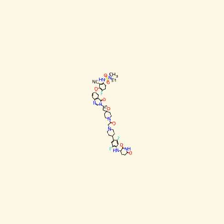 CCN(C)S(=O)(=O)Nc1ccc(F)c(Oc2ccc3ncn([C@H]4COC5(CCN(C(=O)CN6CCC(c7cc(F)c(NC8CCC(=O)NC8=O)cc7F)CC6)CC5)C4)c(=O)c3c2)c1C#N